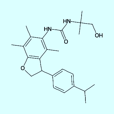 Cc1c(C)c2c(c(C)c1NC(=O)NC(C)(C)CO)C(c1ccc(C(C)C)cc1)CO2